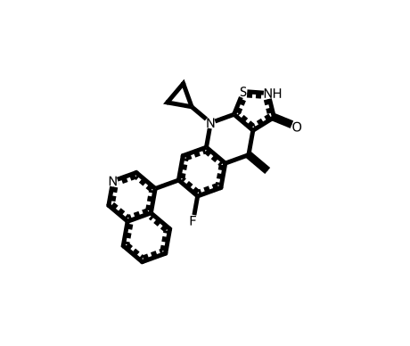 C=C1c2cc(F)c(-c3cncc4ccccc34)cc2N(C2CC2)c2s[nH]c(=O)c21